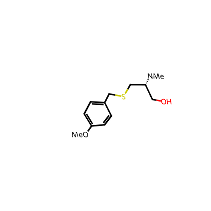 CN[C@H](CO)CSCc1ccc(OC)cc1